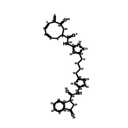 C=C1/C=C\C=C/CC(C(=O)Nc2nnc(CCCCc3nnc(NC(=O)C4CC(=O)c5ccccc54)s3)s2)CC1=O